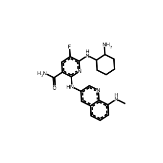 CNc1cccc2cc(Nc3nc(NC4CCCCC4N)c(F)cc3C(N)=O)cnc12